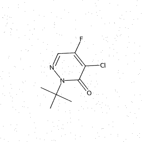 CC(C)(C)n1ncc(F)c(Cl)c1=O